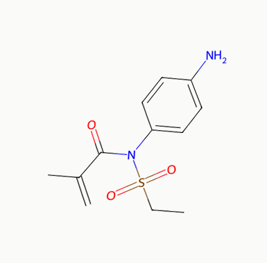 C=C(C)C(=O)N(c1ccc(N)cc1)S(=O)(=O)CC